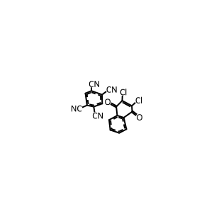 N#Cc1cc(C#N)c(C#N)cc1C#N.O=C1C(Cl)=C(Cl)C(=O)c2ccccc21